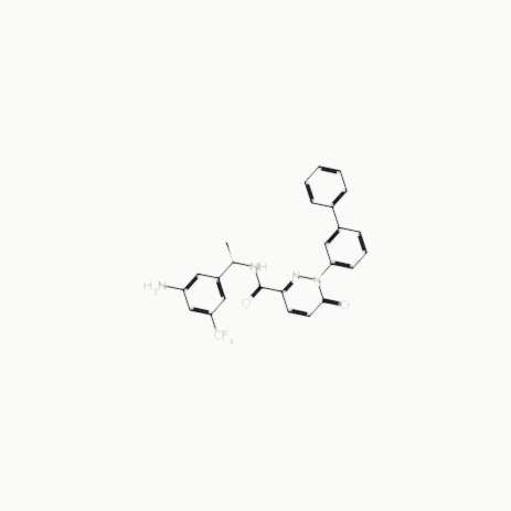 C[C@@H](NC(=O)c1ccc(=O)n(-c2cccc(-c3ccccc3)c2)n1)c1cc(N)cc(C(F)(F)F)c1